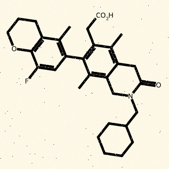 Cc1c(-c2c(C)c3c(c(C)c2CC(=O)O)CC(=O)N(CC2CCCCC2)C3)cc(F)c2c1CCCO2